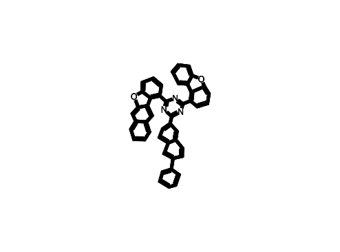 c1ccc(-c2ccc3cc(-c4nc(-c5cccc6oc7ccccc7c56)nc(-c5cccc6oc7cc8ccccc8cc7c56)n4)ccc3c2)cc1